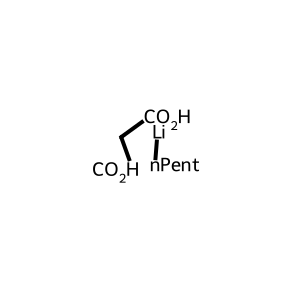 O=C(O)CC(=O)O.[Li][CH2]CCCC